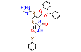 O=C(CSc1ccccc1)N[C@@H]1C(=O)N2C(C(=O)OC(c3ccccc3)c3ccccc3)=C(Sc3nc[nH]n3)CS[C@@H]12